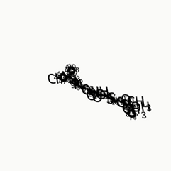 C[C@@H]([C@@H](O)c1ccccc1)N(C)C(=O)OCCSSCCOC(=O)NC(=O)COCCN1CCN(C(c2ccccc2)c2ccc(Cl)cc2)CC1